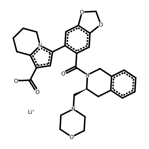 O=C([O-])c1cc(-c2cc3c(cc2C(=O)N2Cc4ccccc4C[C@H]2CN2CCOCC2)OCO3)n2c1CCCC2.[Li+]